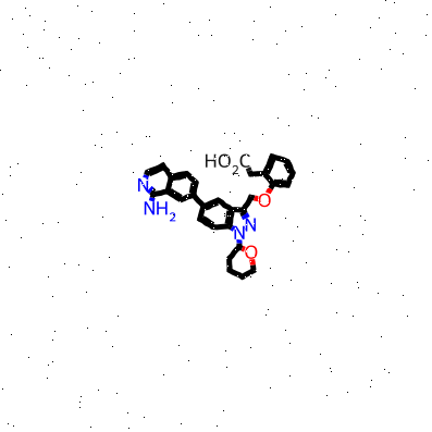 Nc1nccc2ccc(-c3ccc4c(c3)c(COc3ccccc3CC(=O)O)nn4C3CCCCO3)cc12